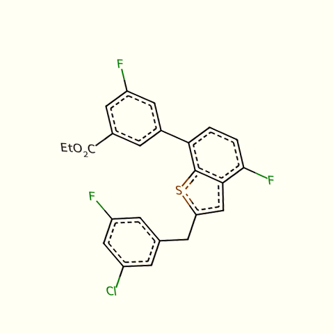 CCOC(=O)c1cc(F)cc(-c2ccc(F)c3cc(Cc4cc(F)cc(Cl)c4)sc23)c1